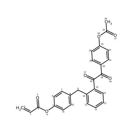 C=CC(=O)Oc1ccc(Cc2ccccc2C(=O)C(=O)c2ccc(OC(C)=O)cc2)cc1